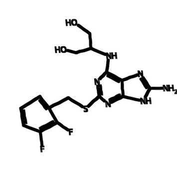 Nc1nc2c(NC(CO)CO)nc(SCc3cccc(F)c3F)nc2[nH]1